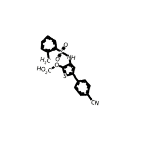 Cc1ccccc1S(=O)(=O)Nc1cc(-c2ccc(C#N)cc2)sc1OC(=O)O